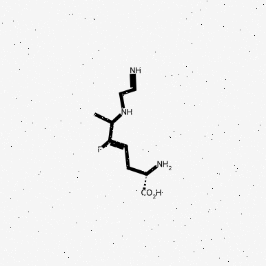 CC(NCC=N)/C(F)=C/C[C@H](N)C(=O)O